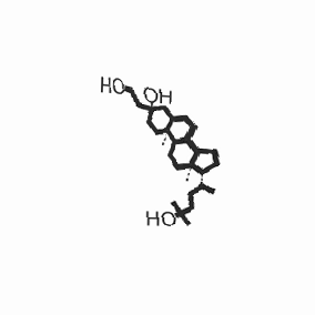 CC(CCC(C)(C)O)[C@H]1CCC2C3CC=C4C[C@](O)(CCO)CC[C@]4(C)C3CC[C@@]21C